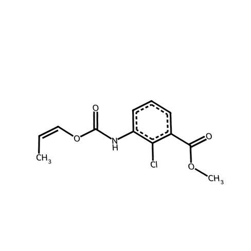 C/C=C\OC(=O)Nc1cccc(C(=O)OC)c1Cl